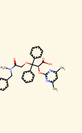 Cc1cc(C)nc(O[C@H](C(=O)O)C(OCC(=O)N(C)Cc2ccccc2)(c2ccccc2)c2ccccc2)n1